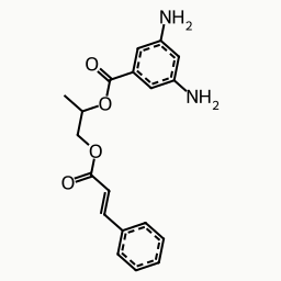 CC(COC(=O)/C=C/c1ccccc1)OC(=O)c1cc(N)cc(N)c1